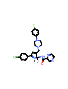 CC1(NC(=O)c2cnccn2)N=C(c2ccc(Cl)cc2)C=C1CN1CCN(c2ccc(F)cc2)CC1